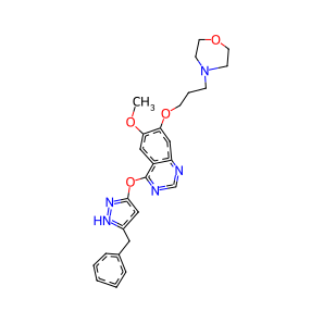 COc1cc2c(Oc3cc(Cc4ccccc4)[nH]n3)ncnc2cc1OCCCN1CCOCC1